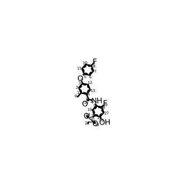 Cc1cc(Oc2ccc(F)cc2)ccc1C(=O)Nc1cc(S(C)(=O)=O)c(O)cc1F